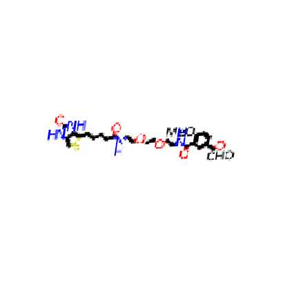 COc1ccc(C(=O)C=O)cc1C(=O)NCCOCCOCCNC(=O)CCCCC1SCC2NC(=O)NC21